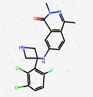 Cc1nn(C)c(=O)c2cc(NC3(c4c(F)ccc(Cl)c4Cl)CNC3)ccc12